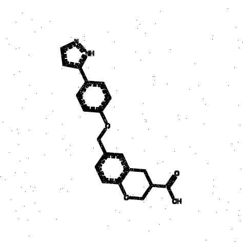 O=C(O)C1COc2ccc(COc3ccc(-c4ccn[nH]4)cc3)cc2C1